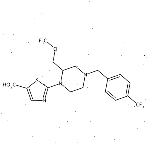 O=C(O)c1cnc(N2CCN(Cc3ccc(C(F)(F)F)cc3)CC2COC(F)(F)F)s1